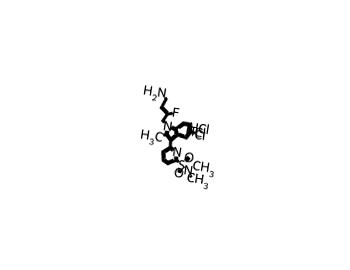 Cc1c(-c2cccc(S(=O)(=O)N(C)C)n2)c2cc(Cl)ccc2n1C/C(F)=C/CN.Cl.Cl